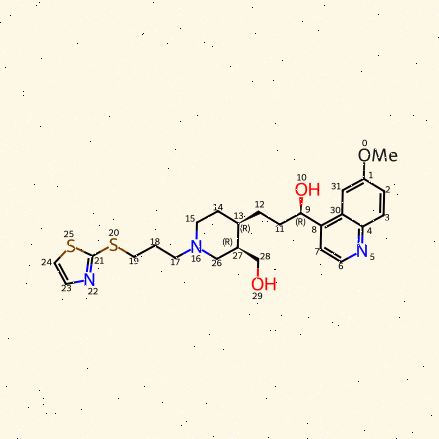 COc1ccc2nccc([C@H](O)CC[C@@H]3CCN(CCCSc4nccs4)C[C@@H]3CO)c2c1